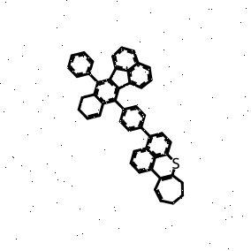 C1=CC2=C(CCC1)Sc1ccc(-c3ccc(-c4c5c(c(-c6ccccc6)c6c4-c4cccc7cccc-6c47)CCC=C5)cc3)c3cccc2c13